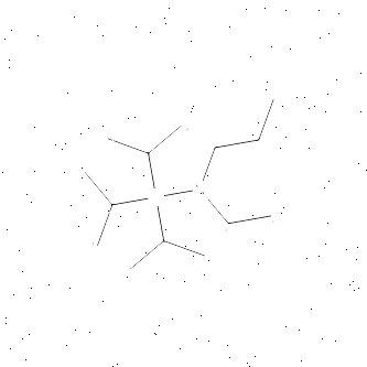 CCCN(CC)[Si](C(C)C)(C(C)C)C(C)C